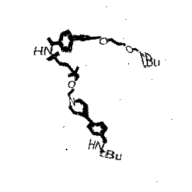 CC(NC(C)(C)CCC(C)(C)COCCN1CCC(c2ccc(CNC(C)(C)C)cc2)CC1)c1ccc(C#CCOCCCOCC(C)(C)C)cc1